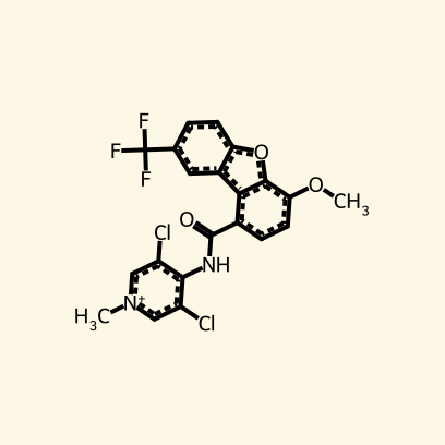 COc1ccc(C(=O)Nc2c(Cl)c[n+](C)cc2Cl)c2c1oc1ccc(C(F)(F)F)cc12